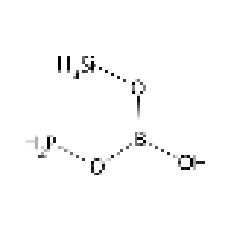 OB(O[SiH3])OP